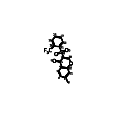 Cc1ccc2c(=O)c(S(=O)(=O)c3ccccc3C(F)(F)F)coc2c1